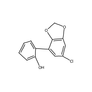 Oc1ccccc1-c1cc(Cl)cc2c1OCO2